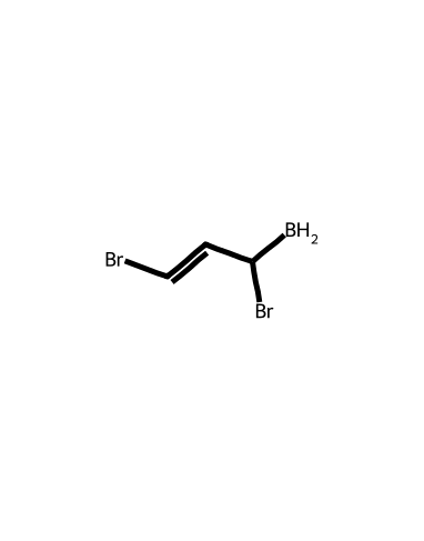 BC(Br)C=CBr